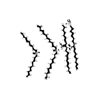 CCCCCCCCCC(CCCCCCCC)N(C)C.CCCCCCCCCCCC(CCCCCCCC)N(C)C.CCCCCCCCCCCC[N+](C)(C)CCCCCCCCCCCC.CCCCCCCCCC[N+](C)(C)CCCCCCCCCC.Cl.[Cl-].[Cl-]